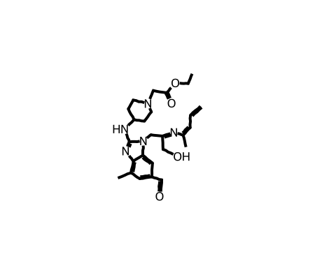 C=C/C=C(C)\N=C(/CO)Cn1c(NC2CCN(CC(=O)OCC)CC2)nc2c(C)cc(C=O)cc21